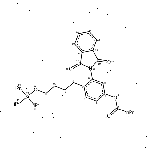 CCCC(=O)Oc1ccc(CCCCO[Si](C(C)C)(C(C)C)C(C)C)c(N2C(=O)c3ccccc3C2=O)c1